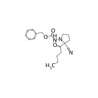 CCCCC(=O)C1(C#N)CCCN1NC(=O)OCc1ccccc1